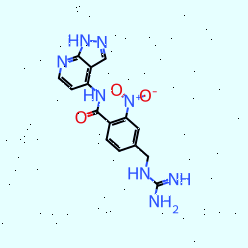 N=C(N)NCc1ccc(C(=O)Nc2ccnc3[nH]ncc23)c([N+](=O)[O-])c1